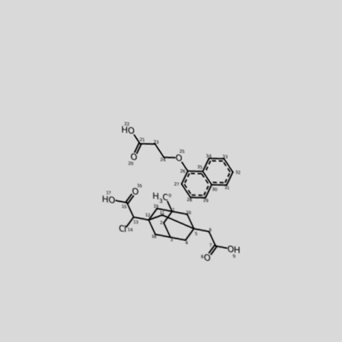 CC12CC3CC(CC(=O)O)(C1)CC(C(Cl)C(=O)O)(C3)C2.O=C(O)CCOc1cccc2ccccc12